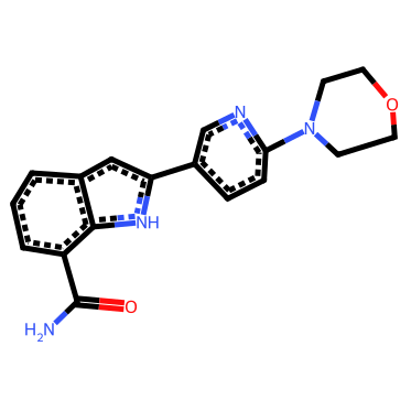 NC(=O)c1cccc2cc(-c3ccc(N4CCOCC4)nc3)[nH]c12